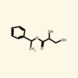 CC(OC(=O)C(O)CO)c1ccccc1